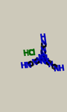 C1CC(N2CCN(c3nc(N4CCN(C5CCNCC5)CC4)nc(N4CCN(C5CCNCC5)CC4)n3)CC2)CCN1.Cl